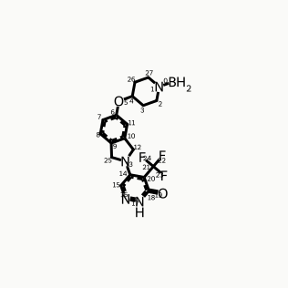 BN1CCC(Oc2ccc3c(c2)CN(c2cn[nH]c(=O)c2C(F)(F)F)C3)CC1